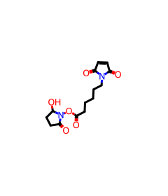 O=C(CCCCCN1C(=O)C=CC1=O)ON1C(=O)CCC1O